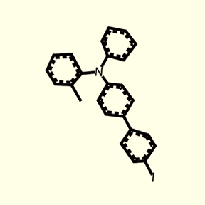 Cc1ccccc1N(c1ccccc1)c1ccc(-c2ccc(I)cc2)cc1